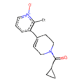 CCc1c(C2=CCN(C(=O)C3CC3)CC2)ccc[n+]1[O-]